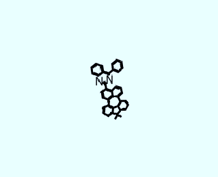 CC1(C)c2cccc3c2-c2c(cccc21)-c1ccc(-c2nc(-c4ccccc4)c4ccccc4n2)c2cccc-3c12